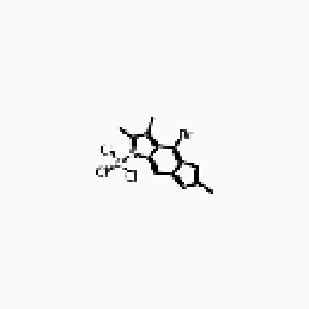 CC1=Cc2c(Br)c3c(cc2=C1)[S]([Zr]([Cl])([Cl])[Cl])=C(C)C=3C